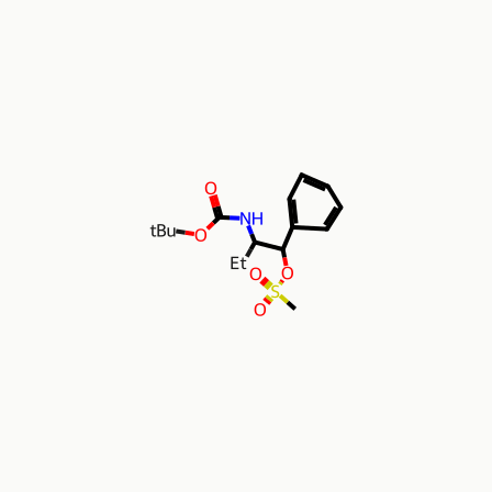 CCC(NC(=O)OC(C)(C)C)C(OS(C)(=O)=O)c1ccccc1